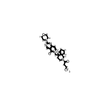 O=C(CCC(F)(F)F)N1CCC(O)(Cn2ccc3nc(N4CCOCC4)ncc3c2=O)C2(CCCC2)C1